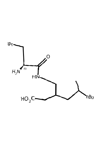 CCCCC(C)CC(CNC(=O)[C@@H](N)CC(C)C)CC(=O)O